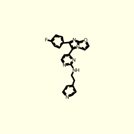 Fc1ccc(-c2nc3occn3c2-c2ccnc(NCCc3ccncc3)n2)cc1